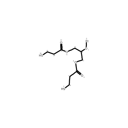 CCOC(COC(=O)CCS)COC(=O)CCS